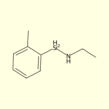 CCN[SiH2]c1ccccc1C